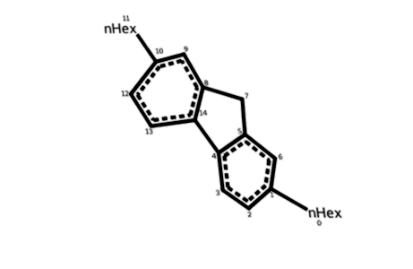 CCCCCCc1ccc2c(c1)Cc1cc(CCCCCC)ccc1-2